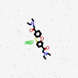 CCN(CC)CC(=O)c1ccc2c(c1)Oc1ccc(C(=O)CN(CC)CC)cc1S2.Cl.Cl